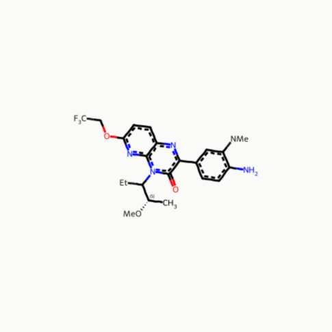 CCC([C@H](C)OC)n1c(=O)c(-c2ccc(N)c(NC)c2)nc2ccc(OCC(F)(F)F)nc21